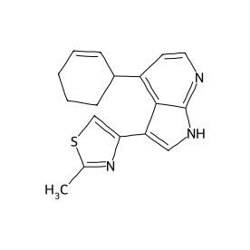 Cc1nc(-c2c[nH]c3nccc(C4C=CCCC4)c23)cs1